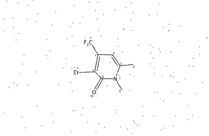 CCc1c(C(F)(F)F)cc(C)n(C)c1=O